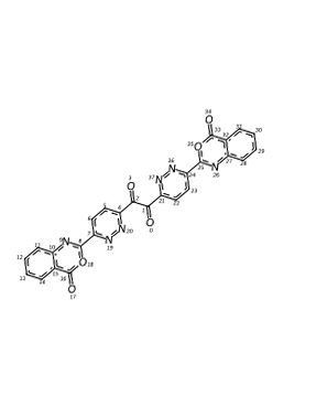 O=C(C(=O)c1ccc(-c2nc3ccccc3c(=O)o2)nn1)c1ccc(-c2nc3ccccc3c(=O)o2)nn1